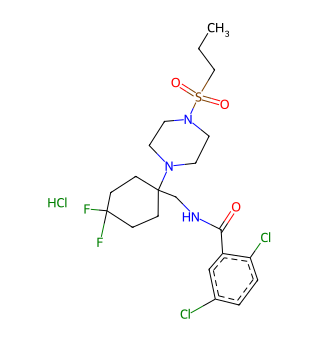 CCCS(=O)(=O)N1CCN(C2(CNC(=O)c3cc(Cl)ccc3Cl)CCC(F)(F)CC2)CC1.Cl